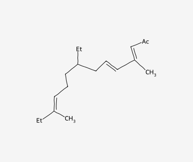 CCC(C)=CCCC(CC)CC=CC(C)=CC(C)=O